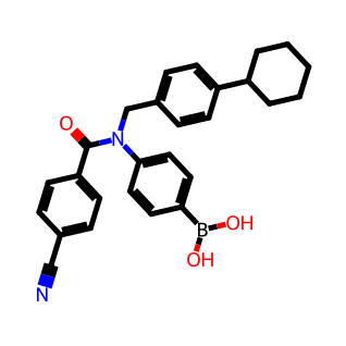 N#Cc1ccc(C(=O)N(Cc2ccc(C3CCCCC3)cc2)c2ccc(B(O)O)cc2)cc1